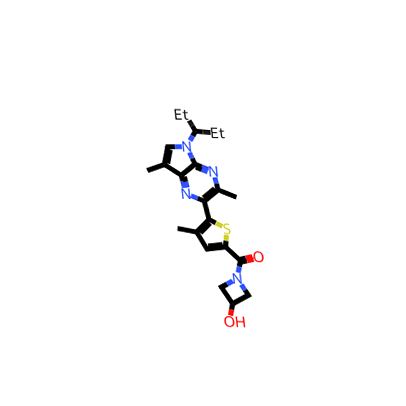 CCC(CC)n1cc(C)c2nc(-c3sc(C(=O)N4CC(O)C4)cc3C)c(C)nc21